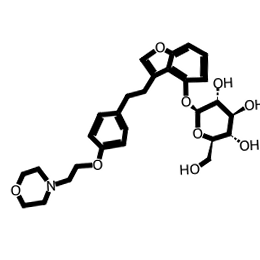 OC[C@H]1O[C@@H](Oc2cccc3occ(CCc4ccc(OCCN5CCOCC5)cc4)c23)[C@H](O)[C@@H](O)[C@@H]1O